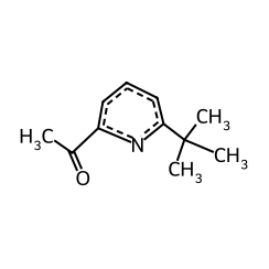 CC(=O)c1cccc(C(C)(C)C)n1